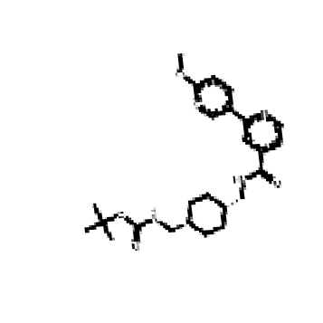 COc1ccc(-c2cc(C(=O)NC[C@H]3CC[C@H](CNC(=O)OC(C)(C)C)CC3)ccn2)cn1